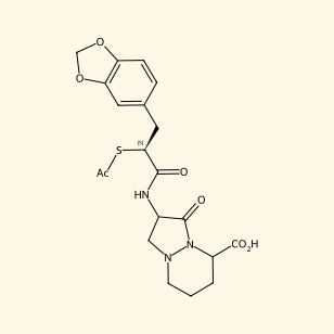 CC(=O)S[C@@H](Cc1ccc2c(c1)OCO2)C(=O)NC1CN2CCCC(C(=O)O)N2C1=O